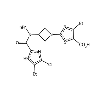 CCCN(C(=O)c1nc(Cl)c(CC)[nH]1)C1CN(c2nc(CC)c(C(=O)O)s2)C1